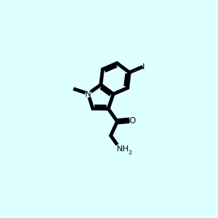 Cn1cc(C(=O)CN)c2cc(I)ccc21